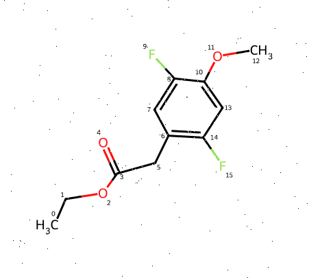 CCOC(=O)Cc1cc(F)c(OC)cc1F